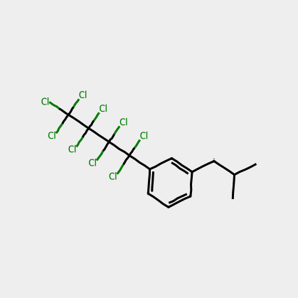 CC(C)[CH]c1cccc(C(Cl)(Cl)C(Cl)(Cl)C(Cl)(Cl)C(Cl)(Cl)Cl)c1